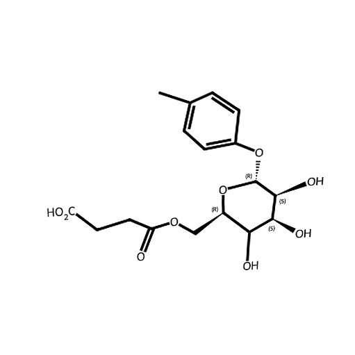 Cc1ccc(O[C@H]2O[C@H](COC(=O)CCC(=O)O)C(O)[C@H](O)[C@@H]2O)cc1